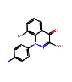 CC(=O)c1cccc2c(=O)c(C(=O)O)nn(-c3ccc(I)cc3)c12